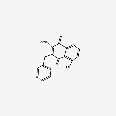 CC(=O)NC1=C(Cc2cnccn2)C(=O)c2c(N)cccc2C1=O